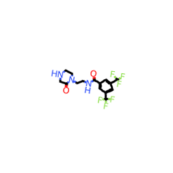 O=C(NCCN1CCNCC1=O)c1cc(C(F)(F)F)cc(C(F)(F)F)c1